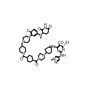 CCOC(=O)c1cnc(Nc2cnn(C)c2)nc1NC1CCC(N2CCN(C(=O)C3CCC(C(=O)N4CCC(CN5CCN(c6cc(N(C)C7CCC(=O)NC7=O)ccc6F)CC5)CC4)CC3)CC2)CC1